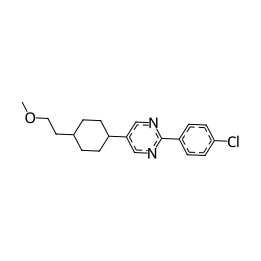 COCCC1CCC(c2cnc(-c3ccc(Cl)cc3)nc2)CC1